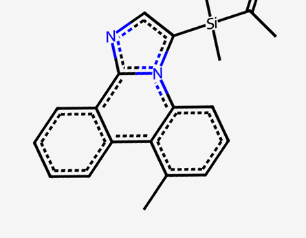 C=C(C)[Si](C)(C)c1cnc2c3ccccc3c3c(C)cccc3n12